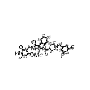 COc1cc(C)[nH]c(=O)c1CNC(=O)c1c(C)n([C@H](C)C2CCN(Cc3cc(F)cc(F)c3)CC2)c2ccccc12